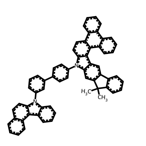 CC1(C)c2ccccc2-c2cc3c4c5c6ccccc6c6ccccc6c5ccc4n(-c4ccc(-c5cccc(-n6c7ccccc7c7c8ccccc8ccc76)c5)cc4)c3cc21